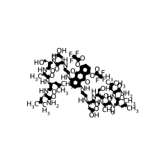 CC(C)C[C@H](NC(=O)[C@H](CC(C)C)NC(=O)[C@H](C)NC(=O)[C@H](CO)NC(=O)[C@H](CC(=O)O)NCCNc1ccc(NCCN[C@@H](CC(=O)O)C(=O)N[C@@H](CO)C(=O)N[C@@H](C)C(=O)N[C@@H](CC(C)C)C(=O)N[C@@H](CC(C)C)C(N)=O)c2c1C(=O)c1c(OC(=O)C(F)(F)F)ccc(OC(=O)C(F)(F)F)c1C2=O)C(N)=O